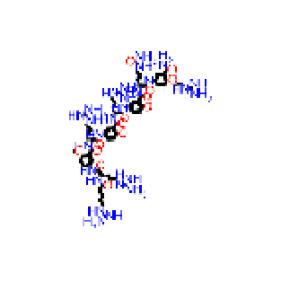 COc1ccc(NC(=O)[C@@H](CCCNC(=N)N)NC(=O)CCCCNC(=N)N)cc1C(=O)N[C@H](CCCNC(=N)N)C(=O)Nc1ccc(OC)c(C(=O)N[C@H](CCCNC(=N)N)C(=O)Nc2ccc(OC)c(C(=O)N[C@H](CCCNC(N)=O)C(=O)Nc3ccc(OCCNC(=N)N)c(C(N)=O)c3)c2)c1